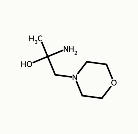 CC(N)(O)CN1CCOCC1